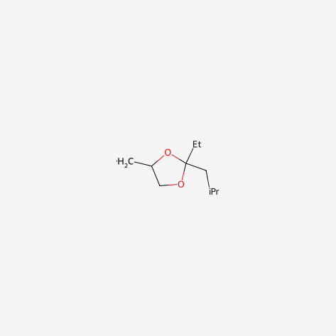 [CH2]C1COC(CC)(CC(C)C)O1